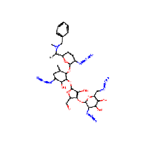 CCC(C1CCC(N=[N+]=[N-])C(OC2C(C)CC(N=[N+]=[N-])C(O)C2OC2OC(CO)C(OC3OC(CN=[N+]=[N-])C(O)C(O)C3N=[N+]=[N-])C2O)O1)N(C)Cc1ccccc1